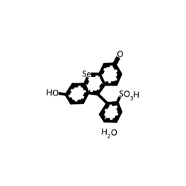 O.O=c1ccc2c(-c3ccccc3S(=O)(=O)O)c3ccc(O)cc3[se]c-2c1